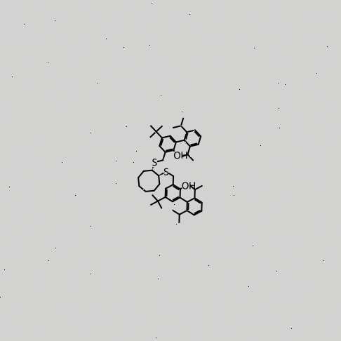 CC(C)c1cccc(C(C)C)c1-c1cc(C(C)(C)C)cc(CS[C@H]2CCCCCC[C@@H]2SCc2cc(C(C)(C)C)cc(-c3c(C(C)C)cccc3C(C)C)c2O)c1O